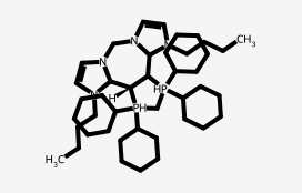 CCCCN1C=CN2CN3C=CN(CCCC)C3[C@@H]3C(C12)[PH](C1CCCCC1)(C1CCCCC1)C[PH]3(C1CCCCC1)C1CCCCC1